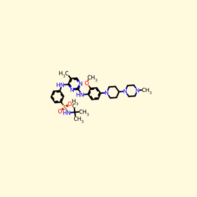 COc1cc(N2CCC(N3CCN(C)CC3)CC2)ccc1Nc1ncc(C)c(Nc2cccc(S(=O)(=O)NC(C)(C)C)c2)n1